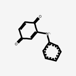 O=C1C=CC(=O)C([N+]c2ccccc2)=C1